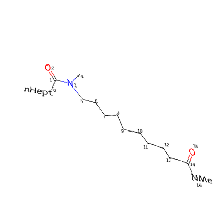 CCCCCCCC(=O)N(C)CCCCCCCCCC(=O)NC